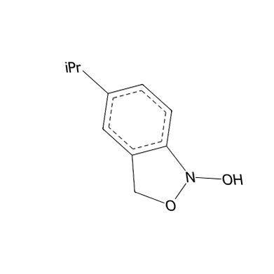 CC(C)c1ccc2c(c1)CON2O